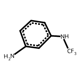 Nc1cccc(NC(F)(F)F)c1